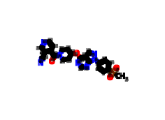 CS(=O)(=O)c1ccc(-n2ncc3c(OC4CCN(C(=O)c5ccncc5C#N)CC4)ncnc32)cc1